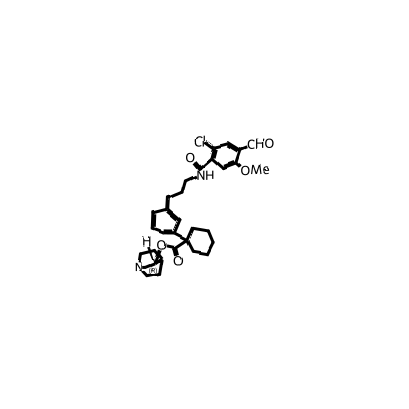 COc1cc(C(=O)NCCCc2cccc(C3(C(=O)O[C@H]4CN5CCC4CC5)CCCCC3)c2)c(Cl)cc1C=O